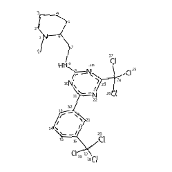 CN1CCCCC1CNc1nc(-c2cccc(C(Cl)(Cl)Cl)c2)nc(C(Cl)(Cl)Cl)n1